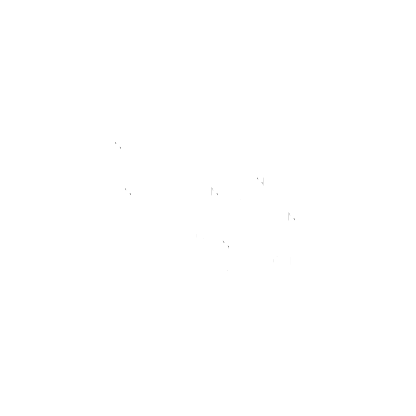 Cc1nc(O)c([N+](=O)[O-])c(N2CCc3cncnc3CC2)n1